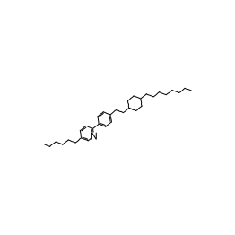 CCCCCCCCC1CCC(CCc2ccc(-c3ccc(CCCCCC)cn3)cc2)CC1